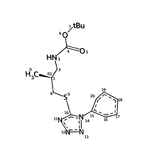 C[C@@H](CNC(=O)OC(C)(C)C)CSc1nnnn1-c1ccccc1